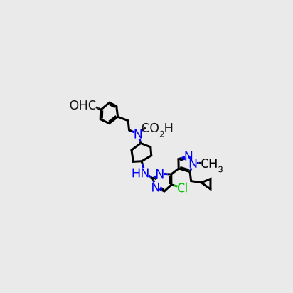 Cn1ncc(-c2nc(NC3CCC(N(CCc4ccc(C=O)cc4)C(=O)O)CC3)ncc2Cl)c1CC1CC1